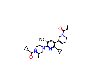 C=CC(=O)N1CCC=C(c2cc(C#N)c(N3CCN(C(=O)C4CC4)C(C)C3)nc2C2CC2)C1